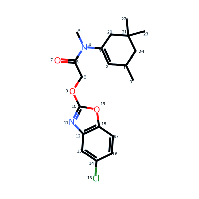 CC1C=C(N(C)C(=O)COc2nc3cc(Cl)ccc3o2)CC(C)(C)C1